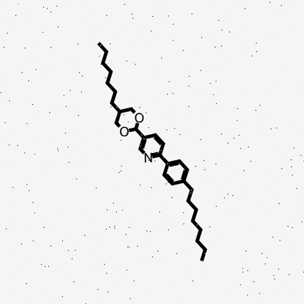 CCCCCCCCc1ccc(-c2ccc(C3OCC(CCCCCCC)CO3)cn2)cc1